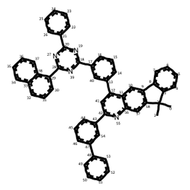 CC1(C)c2ccccc2-c2cc3c(-c4cccc(-c5nc(-c6ccccc6)nc(-c6cccc7ccccc67)n5)c4)cc(-c4cccc(-c5ccccc5)c4)nc3cc21